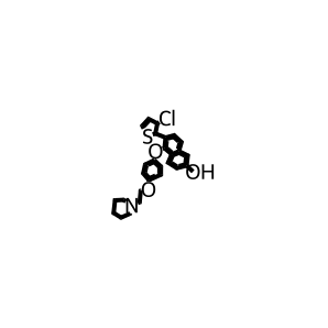 Oc1ccc2c(Oc3ccc(OCCN4CCCCC4)cc3)c(C3SC=CC3Cl)ccc2c1